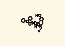 O=C(c1ccccc1Oc1ccccc1)N1C[C@H]2CC34CCC1C2C31CCN(CC2CC2)C4Cc2ccc(O)cc21